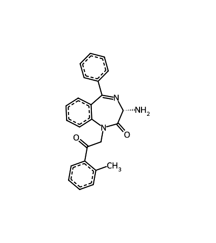 Cc1ccccc1C(=O)CN1C(=O)[C@@H](N)N=C(c2ccccc2)c2ccccc21